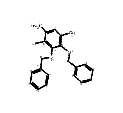 O=C(O)c1cc(O)c(OCc2ccccc2)c(OCc2ccccc2)c1F